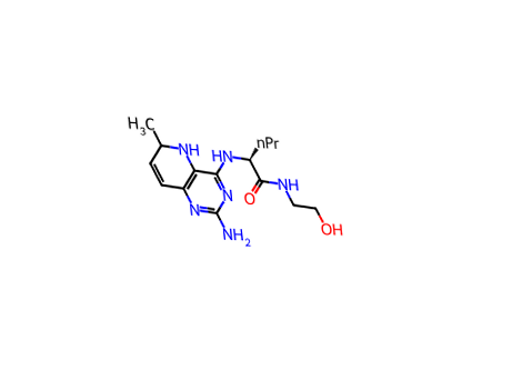 CCC[C@H](Nc1nc(N)nc2c1NC(C)C=C2)C(=O)NCCO